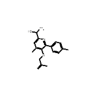 C=C(C)COc1c(C)cc(C(O)C(F)(F)F)nc1-c1ccc(F)cc1